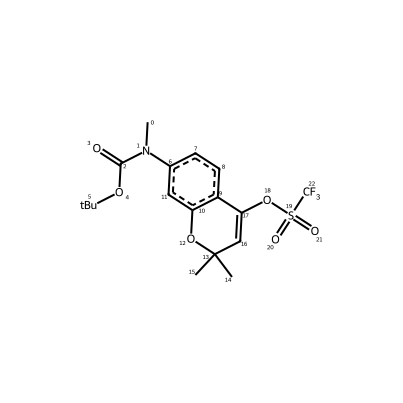 CN(C(=O)OC(C)(C)C)c1ccc2c(c1)OC(C)(C)C=C2OS(=O)(=O)C(F)(F)F